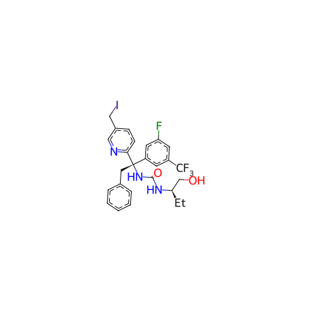 CC[C@H](CO)NC(=O)N[C@@](Cc1ccccc1)(c1cc(F)cc(C(F)(F)F)c1)c1ccc(CI)cn1